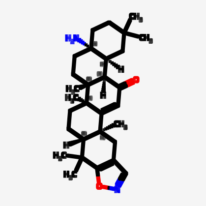 CC1(C)CC[C@]2(N)CC[C@]3(C)[C@H](C(=O)C=C4[C@@]5(C)Cc6cnoc6C(C)(C)[C@@H]5CC[C@]43C)[C@@H]2C1